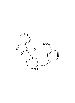 COc1cccc(CC2CN(S(=O)(=O)C3=CC=CCC3=S)CCN2)n1